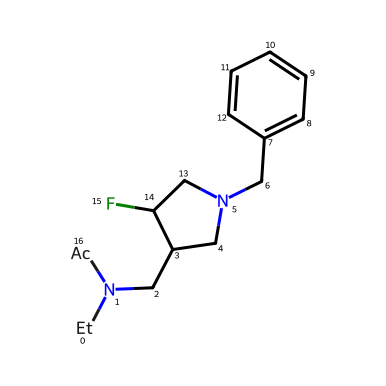 CCN(CC1CN(Cc2ccccc2)CC1F)C(C)=O